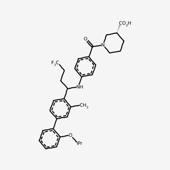 Cc1cc(-c2ccccc2OC(C)C)ccc1C(CCC(F)(F)F)Nc1ccc(C(=O)N2CCC[C@@H](C(=O)O)C2)cc1